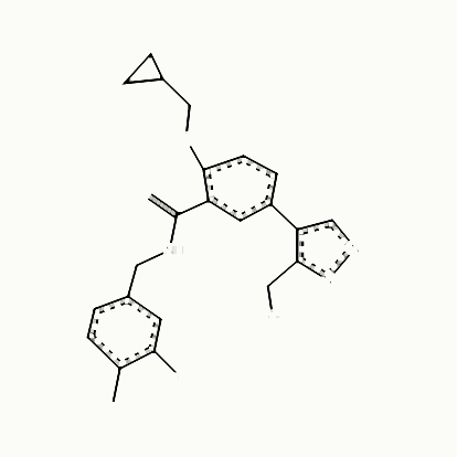 Cc1ccc(CNC(=O)c2cc(-c3c[nH]nc3CO)ccc2OCC2CC2)cc1F